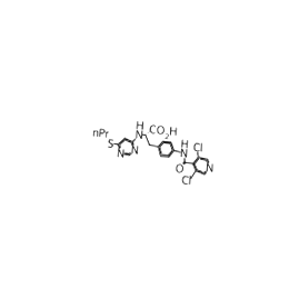 CCCSc1cc(N[C@@H](Cc2ccc(NC(=O)c3c(Cl)cncc3Cl)cc2)C(=O)O)ncn1